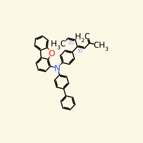 C=C(C)/C=C(\C=C/C)c1ccc(N(c2ccc(-c3ccccc3)cc2)c2cccc3c2oc2ccccc23)cc1